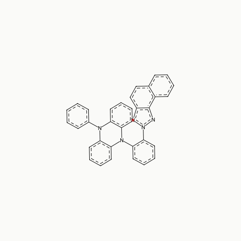 c1ccc(N2c3ccccc3N(c3ccccc3-n3nc4ccc5ccccc5c4n3)c3ccccc32)cc1